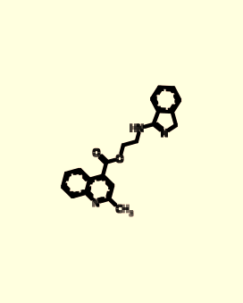 Cc1cc(C(=O)OCCNC2=NCc3ccccc32)c2ccccc2n1